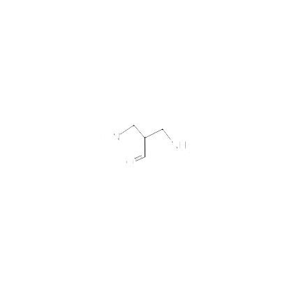 NCC([C]=O)CN